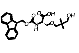 CC(C)(CO)COC[C@H](NC(=O)OCC1c2ccccc2-c2ccccc21)C(=O)O